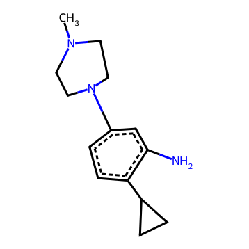 CN1CCN(c2ccc(C3CC3)c(N)c2)CC1